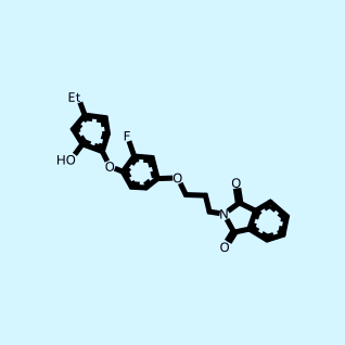 CCc1ccc(Oc2ccc(OCCCN3C(=O)c4ccccc4C3=O)cc2F)c(O)c1